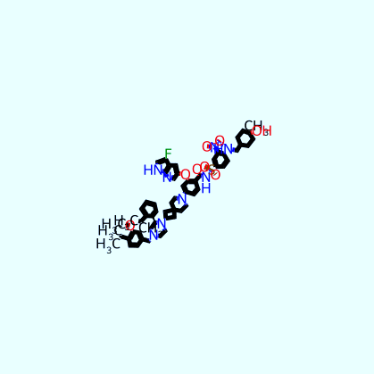 COc1cc(CN2CCN(C3CC4(CCN(c5ccc(C(=O)NS(=O)(=O)c6ccc(NCC7CCC(C)(O)CC7)c([N+](=O)[O-])c6)c(Oc6cnc7[nH]cc(F)c7c6)c5)CC4)C3)[C@H](c3ccccc3C(C)C)C2)ccc1C(C)C